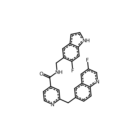 O=C(NCc1cc2cc[nH]c2cc1F)c1ccnc(Cc2ccc3ncc(F)cc3c2)c1